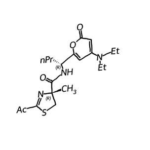 CCC[C@@H](NC(=O)[C@]1(C)CSC(C(C)=O)=N1)c1cc(N(CC)CC)cc(=O)o1